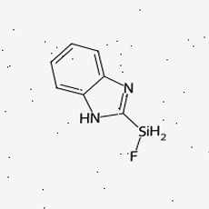 F[SiH2]c1nc2ccccc2[nH]1